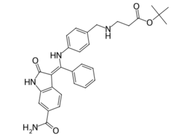 CC(C)(C)OC(=O)CCNCc1ccc(N/C(=C2\C(=O)Nc3cc(C(N)=O)ccc32)c2ccccc2)cc1